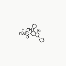 CCCCOC(=O)c1cc2cc(-c3ccccc3)cc(Br)c2c2c3ccccc3n(C)c12